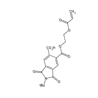 C=CC(=O)OCCOC(=O)c1cc2c(cc1C(=O)O)C(=O)N(C(C)(C)C)C2=O